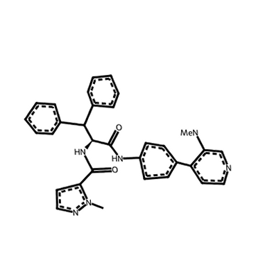 CNc1cnccc1-c1ccc(NC(=O)[C@@H](NC(=O)c2ccnn2C)C(c2ccccc2)c2ccccc2)cc1